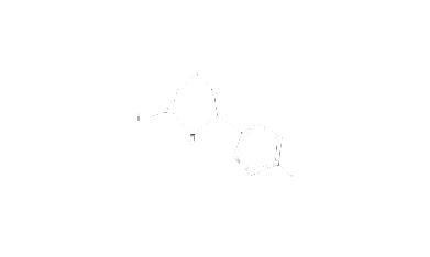 CC(C)N1CCNC(c2ccc(I)cc2)C1=O